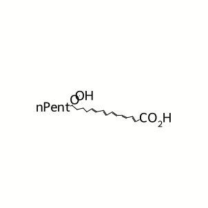 CCCCCC(CCCC=CC=CC=CC=CC=CC(=O)O)OO